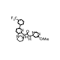 COc1cc(NC(=O)N2c3nc(-c4cccc(C(F)(F)F)c4)ccc3N3CCC[C@H]2C3)ncn1